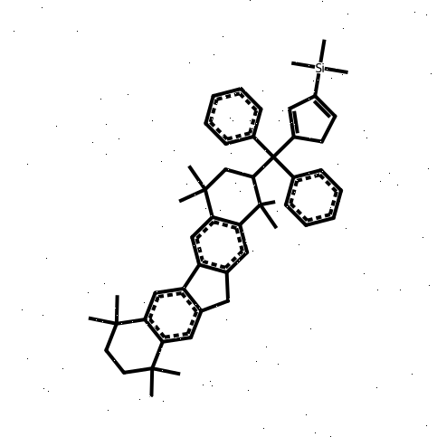 CC1(C)CCC(C)(C)c2cc3c(cc21)Cc1cc2c(cc1-3)C(C)(C)CC(C(C1=CC([Si](C)(C)C)=CC1)(c1ccccc1)c1ccccc1)C2(C)C